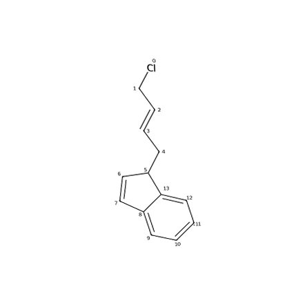 ClCC=CCC1C=Cc2cc[c]cc21